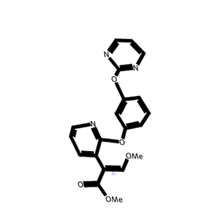 CO/C=C(/C(=O)OC)c1cccnc1Oc1cccc(Oc2ncccn2)c1